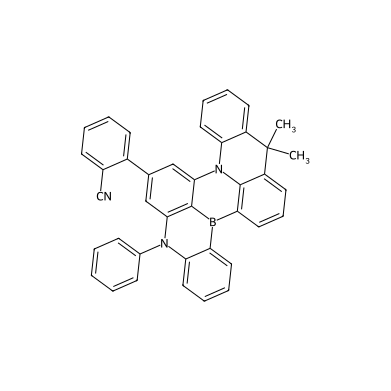 CC1(C)c2ccccc2N2c3cc(-c4ccccc4C#N)cc4c3B(c3ccccc3N4c3ccccc3)c3cccc1c32